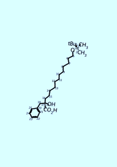 CC(C)(C)[Si](C)(C)OCCCCCCCCCCCC[C@](O)(Cc1ccccc1)C(=O)O